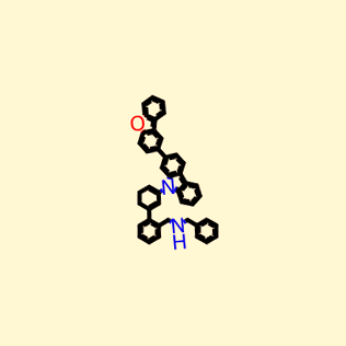 C1=C(c2ccccc2CNCc2ccccc2)CCC=C1n1c2ccccc2c2ccc(-c3ccc4oc5ccccc5c4c3)cc21